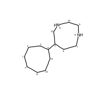 C1CCCC(C2CCNCCNC2)CCC1